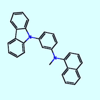 CN(c1cccc(-n2c3ccccc3c3ccccc32)c1)c1cccc2ccccc12